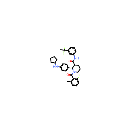 Cc1cccc(F)c1C(=O)N1CCCC(C(=O)Nc2cccc(C(C)(F)F)c2)[C@@H]1c1ccc(NC2CCCC2)cc1